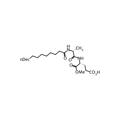 CCCCCCCCCCCCCCCCCC(=O)N[C@H](C)C(=O)N[C@H](CCC(=O)O)C(=O)OC